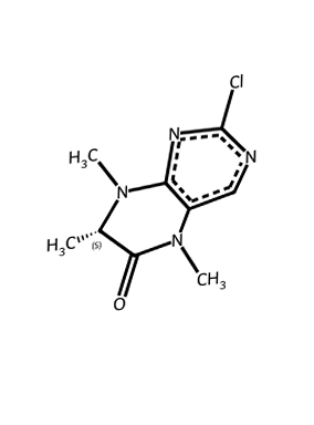 C[C@H]1C(=O)N(C)c2cnc(Cl)nc2N1C